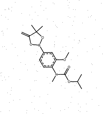 C=C1OB(c2ccc(N(C)C(=O)OC(C)C)c(OC)c2)OC1(C)C